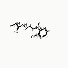 CNC(=O)NSCCN(C)c1nccnc1Cl